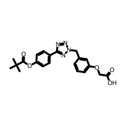 CC(C)(C)C(=O)Oc1ccc(-c2nnn(Cc3cccc(OCC(=O)O)c3)n2)cc1